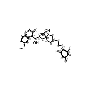 COc1ccc2ncc(Cl)c([C@@H](O)CCC3(C(=O)O)CCN(CCSc4c(F)cc(F)cc4F)CC3)c2c1